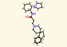 O=C(CCN1CCC2(CCc3ccccc32)CC1)N[C@H]1CCCC[C@@H]1N1CCCC1